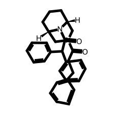 O=C(CCc1ccccc1)N1C[C@H]2CCC[C@@H](C1)N2C(=O)C(c1ccccc1)c1ccccc1